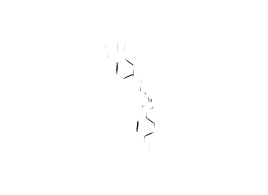 O=S(=O)(NCCc1ccc(CO)cc1)c1ccc(Cl)cc1